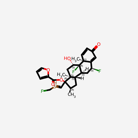 C[C@@H]1C[C@H]2[C@@H]3C[C@H](F)C4=CC(=O)C=C[C@]4(C)[C@@]3(F)[C@@H](O)C[C@]2(C)[C@]1(C=[SH]CF)OC(=O)c1ccco1